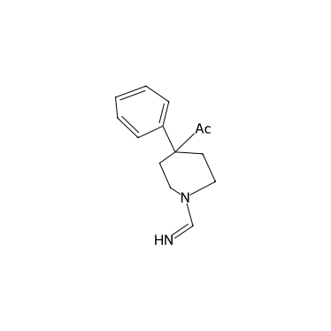 CC(=O)C1(c2ccccc2)CCN(C=N)CC1